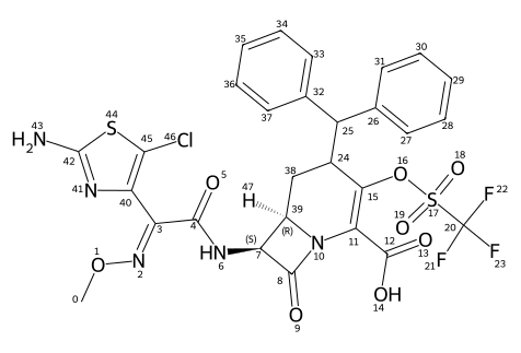 CON=C(C(=O)N[C@@H]1C(=O)N2C(C(=O)O)=C(OS(=O)(=O)C(F)(F)F)C(C(c3ccccc3)c3ccccc3)C[C@H]12)c1nc(N)sc1Cl